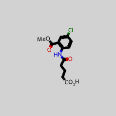 COC(=O)c1cc(Cl)ccc1NC(=O)CCCC(=O)O